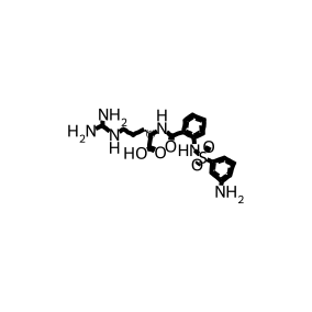 Nc1cccc(S(=O)(=O)Nc2ccccc2C(=O)N[C@@H](CCCNC(N)N)C(=O)O)c1